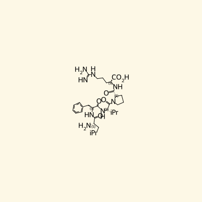 CC(C)C[C@H](N)C(=O)N[C@@H](Cc1ccccc1)C(=O)N[C@H](C(=O)N1CCC[C@H]1C(=O)N[C@@H](CCCNC(=N)N)C(=O)O)C(C)C